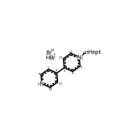 Br.CCCCCCC[n+]1ccc(-c2ccncc2)cc1.[Br-]